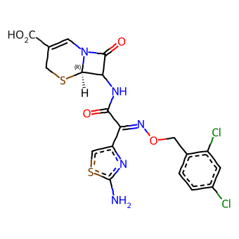 Nc1nc(C(=NOCc2ccc(Cl)cc2Cl)C(=O)NC2C(=O)N3C=C(C(=O)O)CS[C@H]23)cs1